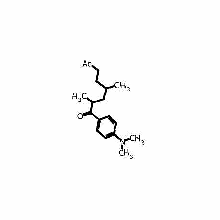 CC(=O)CCC(C)CC(C)C(=O)c1ccc(N(C)C)cc1